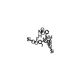 CCc1cc(OCOCC[Si](C)(C)C)c(F)cc1-c1cc2c(c(I)nn2COCC[Si](C)(C)C)c(NCc2ccccc2OC(=O)NC)n1